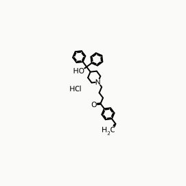 C=Cc1ccc(C(=O)CCCN2CCC(C(O)(c3ccccc3)c3ccccc3)CC2)cc1.Cl